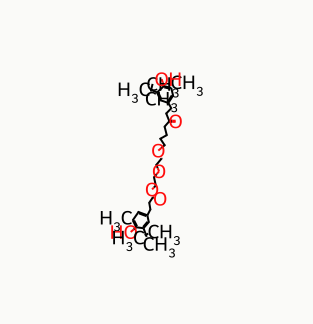 Cc1cc(CCC(=O)CCCCOCCOCCOC(=O)CCc2cc(C)c(O)c(C(C)(C)C)c2)cc(C(C)(C)C)c1O